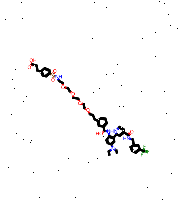 CCN(CC)c1ccc(NC(O)c2cccc(CCCOCCOCCOCCOCCNS(=O)(=O)c3ccc(CCC(=O)O)cc3)c2)c(-c2cc(C(=O)NCc3cccc(C(F)(F)F)c3)ccn2)c1